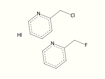 ClCc1ccccn1.FCc1ccccn1.I